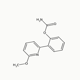 COc1cccc(-c2ccccc2OC(N)=O)n1